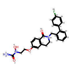 NC(=O)N(O)CCOc1ccc2c(c1)CCN(Cc1ccccc1-c1ccc(F)cc1)C2=O